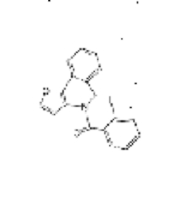 O=C(c1ccccc1I)N1Cc2ccccc2-c2occc21